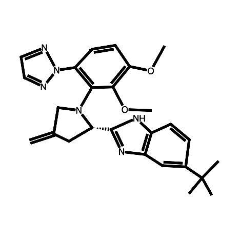 C=C1C[C@@H](c2nc3cc(C(C)(C)C)ccc3[nH]2)N(c2c(-n3nccn3)[c]cc(OC)c2OC)C1